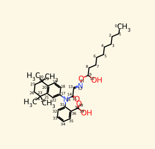 CCCCCCCCCC(O)ON=CC(=O)N(c1ccc2c(c1)C(C)(C)CCC2(C)C)c1ccccc1C(=O)O